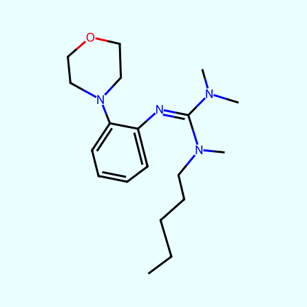 CCCCCN(C)C(=Nc1ccccc1N1CCOCC1)N(C)C